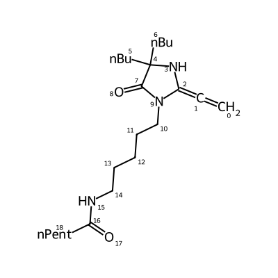 C=C=C1NC(CCCC)(CCCC)C(=O)N1CCCCCNC(=O)CCCCC